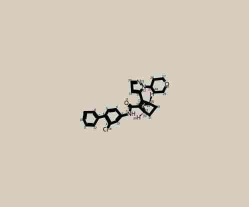 O=C(Nc1ccc(-c2ccccc2)c(Cl)c1)C1=C(c2ccnn2C2CCOCC2)[C@@H]2CC[C@@H]1O2